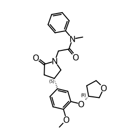 COc1ccc([C@@H]2CC(=O)N(CC(=O)N(C)c3ccccc3)C2)cc1O[C@@H]1CCOC1